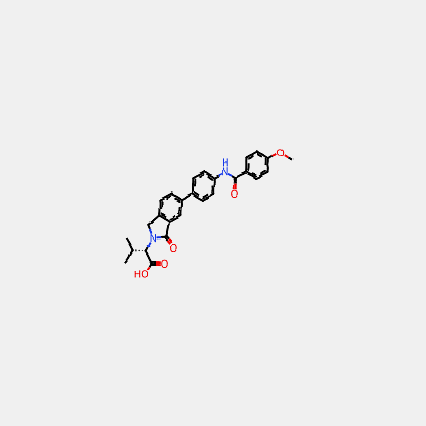 COc1ccc(C(=O)Nc2ccc(-c3ccc4c(c3)C(=O)N([C@H](C(=O)O)C(C)C)C4)cc2)cc1